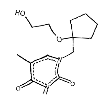 Cc1cn(CC2(OCCO)CCCC2)c(=O)[nH]c1=O